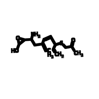 C=CC(/C=C\C(=C/C)CC(N)C1OC1O)SCC(C)=O